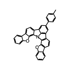 Cc1ccc(-c2cc3c4ccc5c6ccccc6oc5c4n4c3c(c2)c2ccc3c5ccccc5oc3c24)cc1